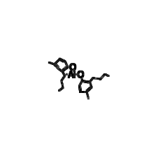 CCCCc1cc(C)ccc1[O][Al][O]c1ccc(C)cc1CCCC